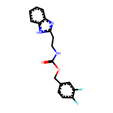 O=C(NCCc1nc2ccccc2[nH]1)OCc1ccc(F)c(F)c1